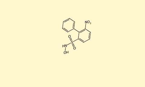 O=[N+]([O-])c1cccc(S(=O)(=O)NO)c1-c1ccccc1